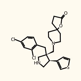 O=C1CCC2(CCN(C[C@]3(Cc4ccc(Cl)cc4Cl)CNC[C@@H]3c3ccsc3)CC2)O1